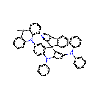 CC1(C)c2ccccc2N(c2ccc3c(c2)C2(c4ccccc4-c4ccncc42)c2cc(N(c4ccccc4)c4ccccc4)ccc2N3c2ccccc2)c2ccccc21